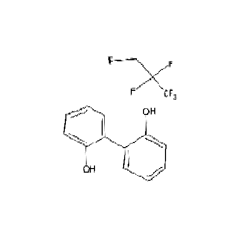 FCC(F)(F)C(F)(F)F.Oc1ccccc1-c1ccccc1O